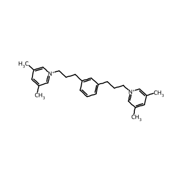 Cc1cc(C)c[n+](CCCc2cccc(CCC[n+]3cc(C)cc(C)c3)c2)c1